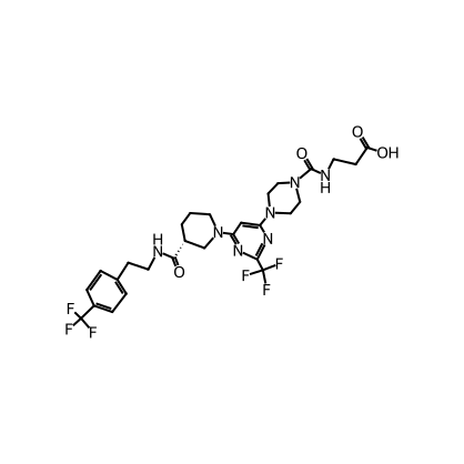 O=C(O)CCNC(=O)N1CCN(c2cc(N3CCC[C@@H](C(=O)NCCc4ccc(C(F)(F)F)cc4)C3)nc(C(F)(F)F)n2)CC1